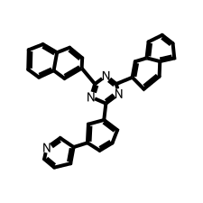 c1cncc(-c2cccc(-c3nc(-c4ccc5ccccc5c4)nc(-c4ccc5ccccc5c4)n3)c2)c1